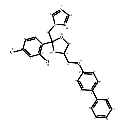 Clc1ccc(C2(Cn3cncn3)OCC(COc3ccc(-c4ccccc4)cc3)O2)c(Cl)c1